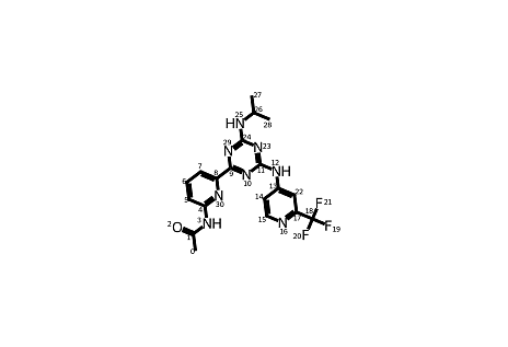 CC(=O)Nc1cccc(-c2nc(Nc3ccnc(C(F)(F)F)c3)nc(NC(C)C)n2)n1